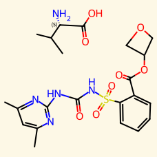 CC(C)[C@H](N)C(=O)O.Cc1cc(C)nc(NC(=O)NS(=O)(=O)c2ccccc2C(=O)OC2COC2)n1